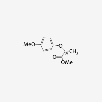 COC(=O)[C@@H](C)Oc1ccc(OC)cc1